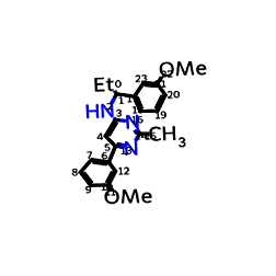 CCC(Nc1cc(-c2cccc(OC)c2)nc(C)n1)c1cccc(OC)c1